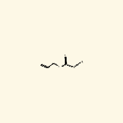 C=CCOC(=S)CC(C)C